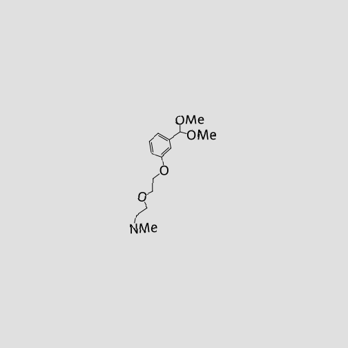 CNCCOCCOc1cccc(C(OC)OC)c1